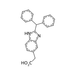 O=C(O)Cc1ccc2[nH]c(C(c3ccccc3)c3ccccc3)nc2c1